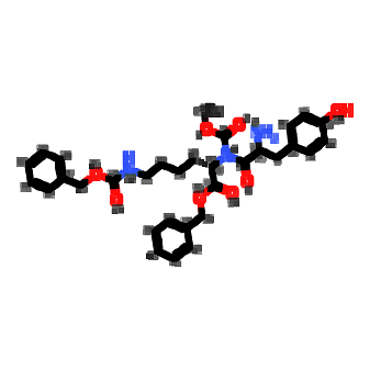 CC(C)(C)OC(=O)N(C(=O)[C@@H](N)Cc1ccc(O)cc1)[C@@H](CCCCNC(=O)OCc1ccccc1)C(=O)OCc1ccccc1